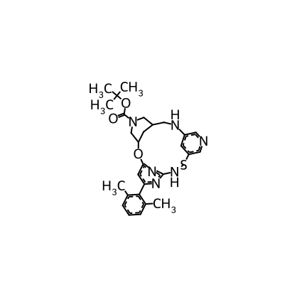 Cc1cccc(C)c1-c1cc2nc(n1)NSc1cncc(c1)NCC1CC(CN(C(=O)OC(C)(C)C)C1)O2